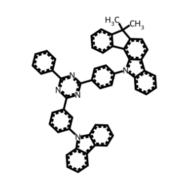 CC1(C)c2ccccc2-c2c1ccc1c3ccccc3n(-c3ccc(-c4nc(-c5ccccc5)nc(-c5cccc(-n6c7ccccc7c7ccccc76)c5)n4)cc3)c21